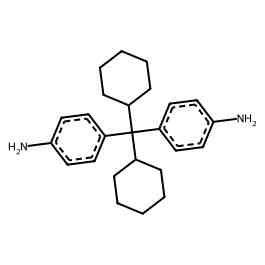 Nc1ccc(C(c2ccc(N)cc2)(C2CCCCC2)C2CCCCC2)cc1